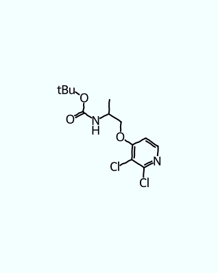 CC(COc1ccnc(Cl)c1Cl)NC(=O)OC(C)(C)C